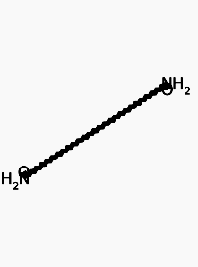 NC(=O)CCCCCCCCCCCCCCCCCCCCCCCCCCCCCCCCCCCCCCCCCCCCCCCCCCCCC(N)=O